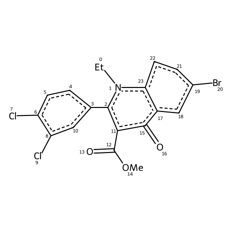 CCn1c(-c2ccc(Cl)c(Cl)c2)c(C(=O)OC)c(=O)c2cc(Br)ccc21